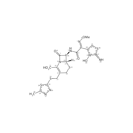 CON=C(C(=O)N[C@@H]1C(=O)N2C(C(=O)O)=C(CSc3nnc(C)s3)CS[C@@H]12)c1csc(=N)n1O